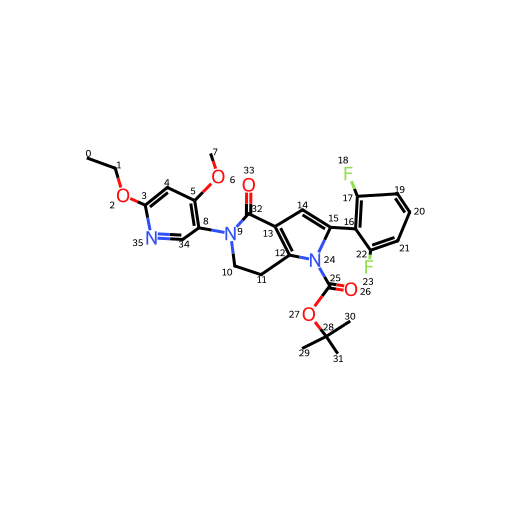 CCOc1cc(OC)c(N2CCc3c(cc(-c4c(F)cccc4F)n3C(=O)OC(C)(C)C)C2=O)cn1